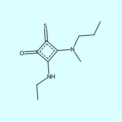 CCCN(C)c1c(NCC)c(=O)c1=S